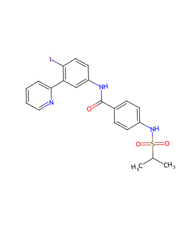 CC(C)S(=O)(=O)Nc1ccc(C(=O)Nc2ccc(I)c(-c3ccccn3)c2)cc1